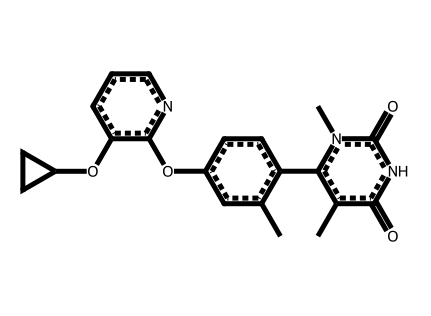 Cc1cc(Oc2ncccc2OC2CC2)ccc1-c1c(C)c(=O)[nH]c(=O)n1C